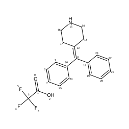 O=C(O)C(F)(F)F.c1ccc(C(=C2CCNCC2)c2ccccc2)cc1